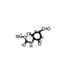 CC(C)(C)OC(=O)Nc1c(Cl)cc(C=O)cc1Cl